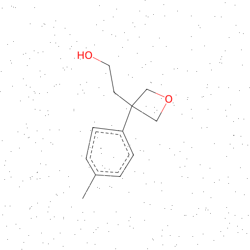 Cc1ccc(C2(CCO)COC2)cc1